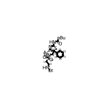 CCCCC(=O)NC1=NN(C(C)=O)C(CNS(=O)(=O)CCNCC)(c2ccccc2)S1